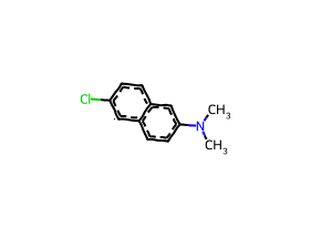 CN(C)c1ccc2[c]c(Cl)ccc2c1